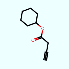 C#CCC(=O)OC1CCCCC1